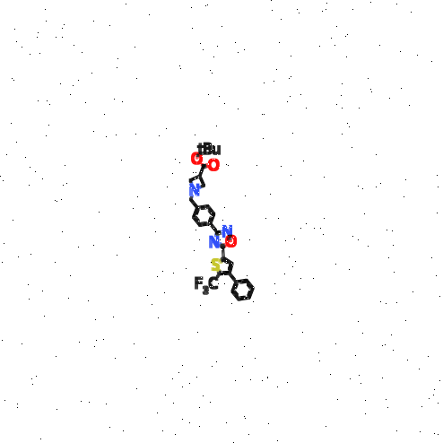 CC(C)(C)OC(=O)C1CN(Cc2ccc(-c3noc(-c4cc(-c5ccccc5)c(C(F)(F)F)s4)n3)cc2)C1